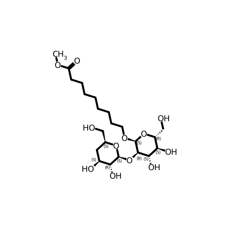 COC(=O)CCCCCCCCO[C@H]1O[C@H](CO)[C@@H](O)[C@H](O)[C@H]1O[C@@H]1O[C@H](CO)C[C@H](O)[C@H]1O